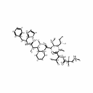 CC[C@H](C)[C@@H]([C@@H](CC(=O)N1CCCC[C@H]1[C@H](OC)[C@@H](C)C(=O)N[C@@H](Cc1ccccc1)c1nccs1)OC)N(C)C(=O)[C@@H](NC(=O)C(C)(C)CNC)C(C)C